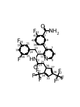 NC(=O)c1cc(-c2cccnc2[C@H](Cc2cc(F)cc(F)c2)NC(=O)CC2C=C(C(F)(F)F)C=C2C(F)(F)F)ccc1F